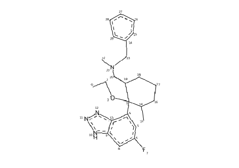 CCOC1(c2cc(F)cc3[nH]nnc23)C(C)CCCC1CN(C)Cc1ccccc1